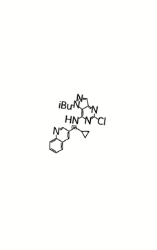 CCC(C)n1ncc2nc(Cl)nc(N[C@@H](c3cnc4ccccc4c3)C3CC3)c21